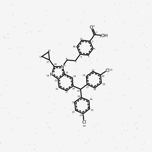 O=C(O)c1ccc(CCn2c(C3CC3)nc3ccc(C(c4ccc(Cl)cc4)c4ccc(Cl)cc4)cc32)cc1